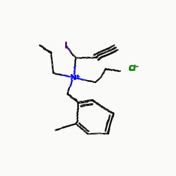 C#CC(I)[N+](CCC)(CCC)Cc1ccccc1C.[Cl-]